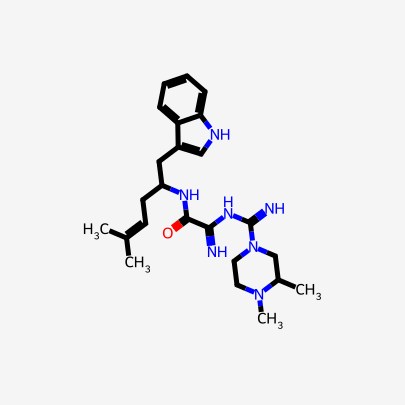 CC(C)=CCC(Cc1c[nH]c2ccccc12)NC(=O)C(=N)NC(=N)N1CCN(C)C(C)C1